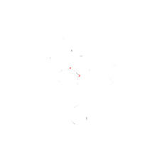 CC(O)N(C)C.Cl.c1ccc(C(OC(c2ccccc2)c2ccccc2)c2ccccc2)cc1